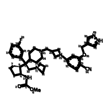 COC(=O)N[C@H]1CCC[C@@H]1[C@](CN1CCC1)(c1cccc(F)c1)C1CCN(CC2CN(c3ccc(C#N)c(OCc4cn[nH]c4)c3)C2)CC1